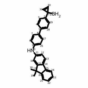 BC1(c2ccc(-c3ccc(Nc4ccc5c(c4)C(C)(C)c4ccccc4-5)cc3)cc2)C=C1